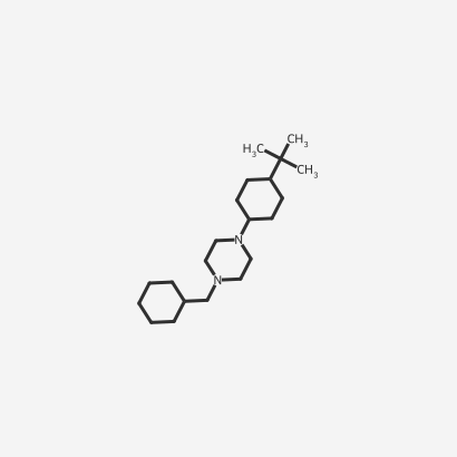 CC(C)(C)C1CCC(N2CCN(CC3CCCCC3)CC2)CC1